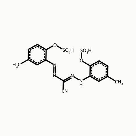 Cc1ccc(OS(=O)(=O)O)c(N=NC(C#N)=NNc2cc(C)ccc2OS(=O)(=O)O)c1